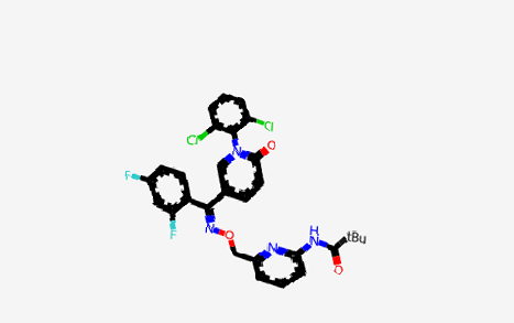 CC(C)(C)C(=O)Nc1cccc(CO/N=C(\c2ccc(=O)n(-c3c(Cl)cccc3Cl)c2)c2ccc(F)cc2F)n1